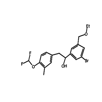 CCOCc1cc(Br)cc(C(O)Cc2ccc(OC(F)F)c(C)c2)c1